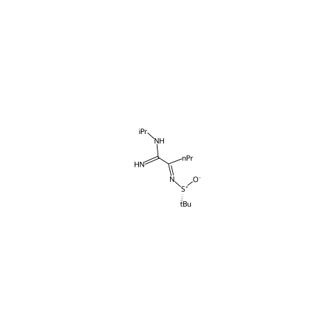 CCC/C(=N\[S@+]([O-])C(C)(C)C)C(=N)NC(C)C